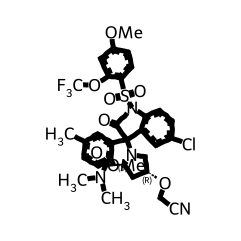 COc1ccc(S(=O)(=O)N2C(=O)C(c3cc(C)ccc3OC)(N3C[C@H](OCC#N)C[C@H]3C(=O)N(C)C)c3cc(Cl)ccc32)c(OC(F)(F)F)c1